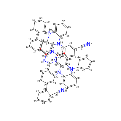 N#Cc1ccc(-c2nc(-c3ccccc3)nc(-c3ccc(-c4ccccc4C#N)cc3N3c4ccccc4N(c4ccccc4)c4ccccc43)n2)c(N2c3ccccc3N(c3ccccc3)c3ccccc32)c1